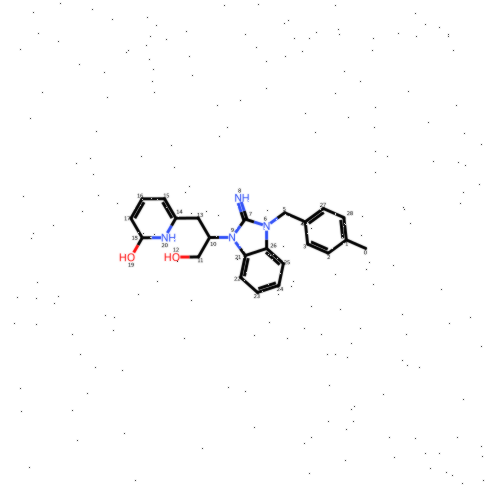 Cc1ccc(Cn2c(=N)n(C(CO)CC3=CC=CC(O)N3)c3ccccc32)cc1